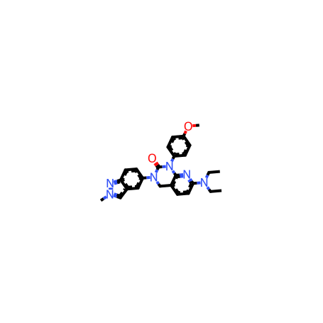 CCN(CC)c1ccc2c(n1)N(c1ccc(OC)cc1)C(=O)N(c1ccc3nn(C)cc3c1)C2